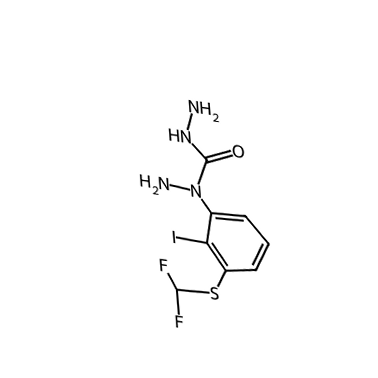 NNC(=O)N(N)c1cccc(SC(F)F)c1I